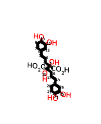 O=C(O)C(O)(C/C=C/c1ccc(O)c(O)c1)C(O)(C/C=C/c1ccc(O)c(O)c1)C(=O)O